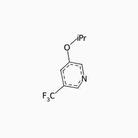 CC(C)Oc1cncc(C(F)(F)F)c1